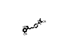 Cc1nc(N2CCN(CCCc3c[nH]c4ccc(C#N)cc34)CC2)sc1C#N